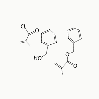 C=C(C)C(=O)Cl.C=C(C)C(=O)OCc1ccccc1.OCc1ccccc1